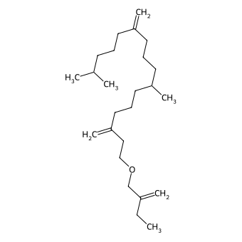 C=C(CCCC(C)C)CCCC(C)CCCC(=C)CCOCC(=C)CC